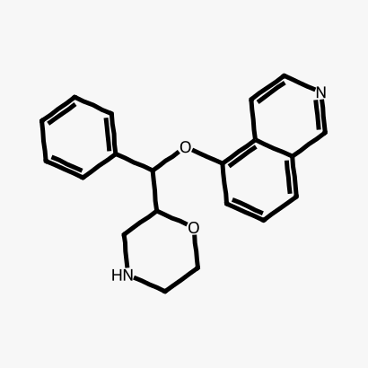 c1ccc(C(Oc2cccc3cnccc23)C2CNCCO2)cc1